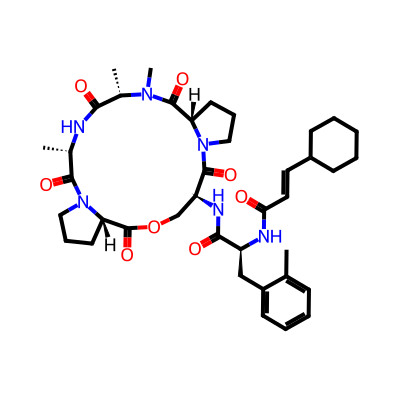 Cc1ccccc1C[C@H](NC(=O)/C=C/C1CCCCC1)C(=O)N[C@H]1COC(=O)[C@@H]2CCCN2C(=O)[C@H](C)NC(=O)[C@H](C)N(C)C(=O)[C@@H]2CCCN2C1=O